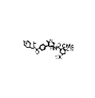 COc1c(C#N)cc(C(C)(C)C)cc1C(=O)Nc1cnc(C)c(-c2ccc(C(=O)NCC3CCN(C)CC3)cc2)c1